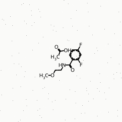 CC(=O)O.COCCNC(=O)c1ccc(F)cc1F